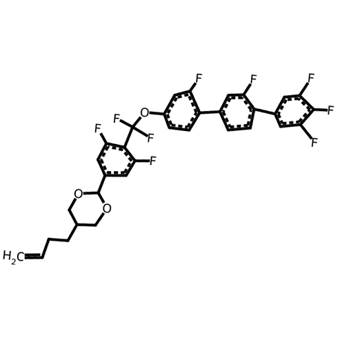 C=CCCC1COC(c2cc(F)c(C(F)(F)Oc3ccc(-c4ccc(-c5cc(F)c(F)c(F)c5)c(F)c4)c(F)c3)c(F)c2)OC1